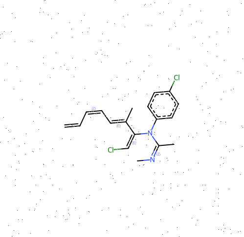 C=C\C=C/C=C(C)/C(=C\Cl)N(/C(C)=N\C)c1ccc(Cl)cc1